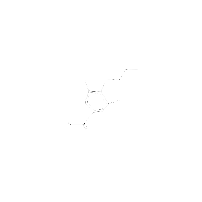 Cc1cc(C(N)=O)cc(C)c1OCCF